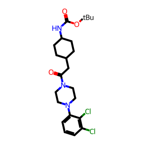 CC(C)(C)OC(=O)NC1CCC(CC(=O)N2CCN(c3cccc(Cl)c3Cl)CC2)CC1